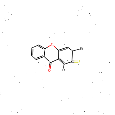 CCC1=c2c(oc3ccccc3c2=O)=CC(CC)C1=S